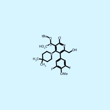 COc1c(F)cc(-c2c(CO)nc(Cl)c([C@H](OC(C)(C)C)C(=O)O)c2N2CCC(C)(C)CC2)cc1F